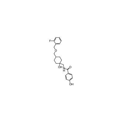 O=C(NCC1(O)CCC(COCc2ccccc2F)CC1)c1ccc(O)cc1